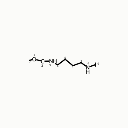 COCNCCCCNI